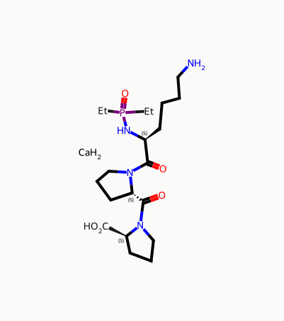 CCP(=O)(CC)N[C@@H](CCCCN)C(=O)N1CCC[C@H]1C(=O)N1CCC[C@H]1C(=O)O.[CaH2]